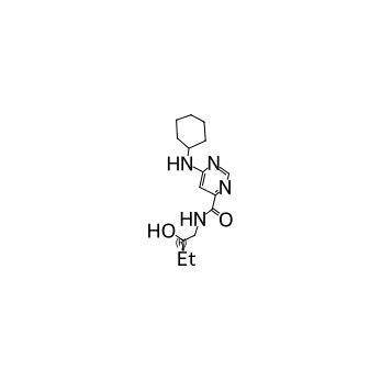 CC[C@@H](O)CNC(=O)c1cc(NC2CCCCC2)ncn1